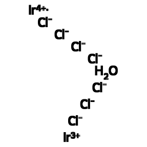 O.[Cl-].[Cl-].[Cl-].[Cl-].[Cl-].[Cl-].[Cl-].[Ir+3].[Ir+4]